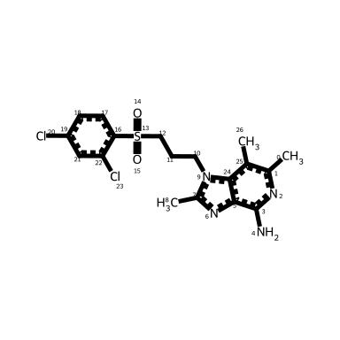 Cc1nc(N)c2nc(C)n(CCCS(=O)(=O)c3ccc(Cl)cc3Cl)c2c1C